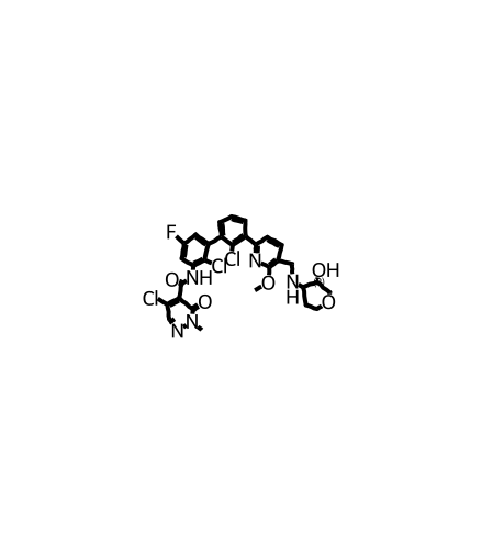 COc1nc(-c2cccc(-c3cc(F)cc(NC(=O)c4c(Cl)cnn(C)c4=O)c3Cl)c2Cl)ccc1CNC1CCOC[C@@H]1O